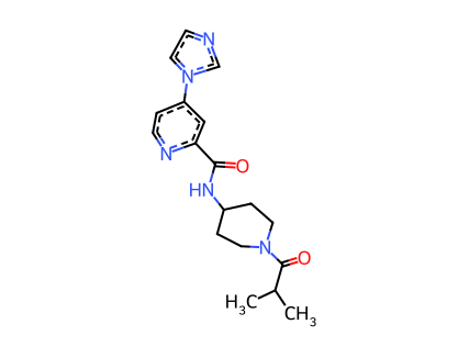 CC(C)C(=O)N1CCC(NC(=O)c2cc(-n3ccnc3)ccn2)CC1